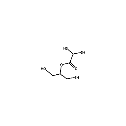 O=C(OC(CO)CS)C(S)S